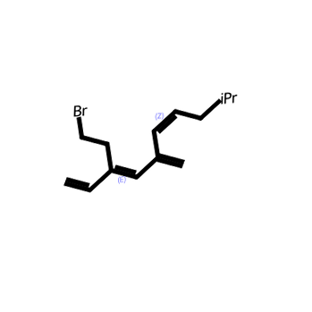 C=C/C(=C/C(=C)/C=C\CC(C)C)CCBr